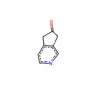 O=C1Cc2ccncc2C1